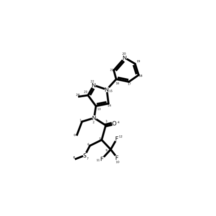 CCN(C(=O)C(CSC)C(F)(F)F)c1cn(-c2cccnc2)nc1C